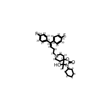 CC1(O)N(C2CCCCC2)C(=O)OC12CCN(CCC=C(c1ccc(F)cc1)c1ccc(F)cc1)CC2